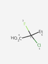 CCC(F)(Cl)C(=O)O